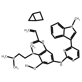 C1CC2CC12.C=CC(=O)Nc1cc(Nc2nccc(-c3cn(C)c4ccccc34)n2)cc(OCC)c1N(C)CCN(C)C